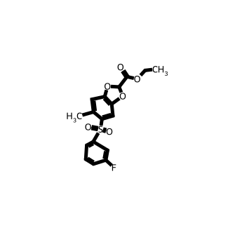 CCOC(=O)C1Oc2cc(C)c(S(=O)(=O)c3cccc(F)c3)cc2O1